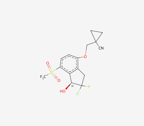 N#CC1(COc2ccc(S(=O)(=O)C(F)(F)F)c3c2CC(F)(F)[C@H]3O)CC1